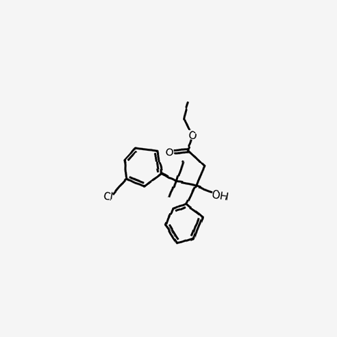 CCOC(=O)CC(O)(c1ccccc1)C(C)(C)c1cccc(Cl)c1